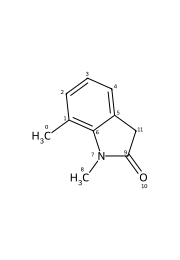 Cc1cccc2c1N(C)C(=O)C2